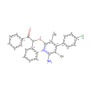 N#Cc1c(N)nc(SC(C(=O)c2ccccc2)c2ccccc2)c(C#N)c1-c1ccc(Cl)cc1